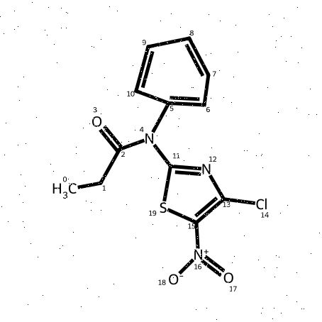 CCC(=O)N(c1ccccc1)c1nc(Cl)c([N+](=O)[O-])s1